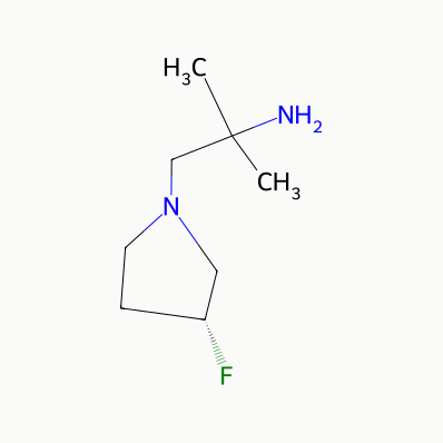 CC(C)(N)CN1CC[C@@H](F)C1